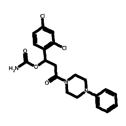 NC(=O)OC(CC(=O)N1CCN(c2ccccc2)CC1)c1ccc(Cl)cc1Cl